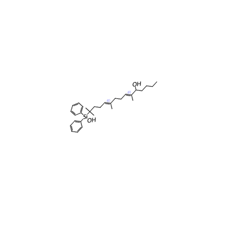 CCCCC(O)/C(C)=C/CC/C(C)=C/CCC(C)(C)[Si](O)(c1ccccc1)c1ccccc1